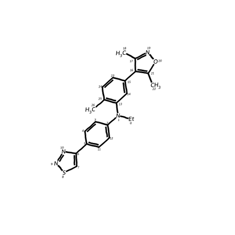 CCN(c1ccc(-c2csnn2)cc1)c1cc(-c2c(C)noc2C)ccc1C